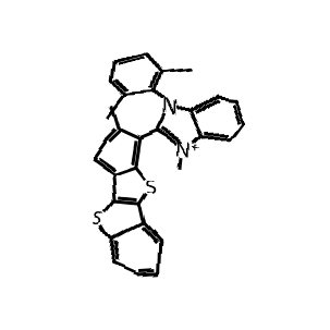 Cc1cccc(C)c1-n1c(-c2c(C)ccc3c2sc2c4ccccc4sc32)[n+](C)c2ccccc21